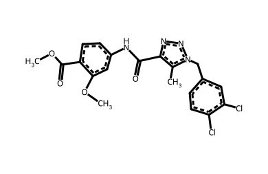 COC(=O)c1ccc(NC(=O)c2nnn(Cc3ccc(Cl)c(Cl)c3)c2C)cc1OC